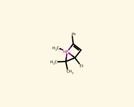 CCC12C=C(C(C)C)[PH]1(C)C2(C)C